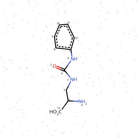 NC(CNC(=O)Nc1ccccc1)C(=O)O